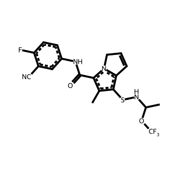 Cc1c(SNC(C)OC(F)(F)F)c2n(c1C(=O)Nc1ccc(F)c(C#N)c1)CC=C2